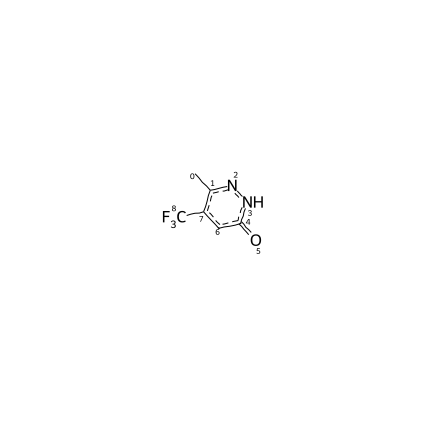 Cc1n[nH]c(=O)cc1C(F)(F)F